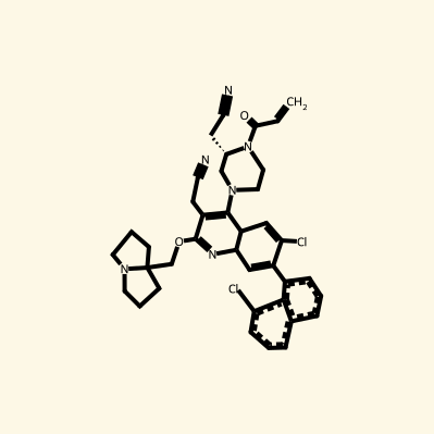 C=CC(=O)N1CCN(C2=C(CC#N)C(OCC34CCCN3CCC4)=NC3C=C(c4cccc5cccc(Cl)c45)C(Cl)=CC23)C[C@@H]1CC#N